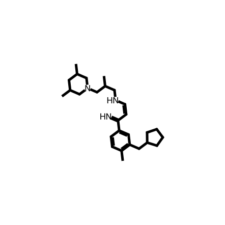 Cc1ccc(C(=N)/C=C\NCC(C)CN2CC(C)CC(C)C2)cc1CC1CCCC1